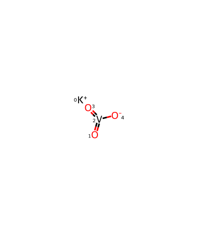 [K+].[O]=[V](=[O])[O-]